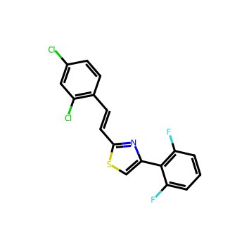 Fc1cccc(F)c1-c1csc(C=Cc2ccc(Cl)cc2Cl)n1